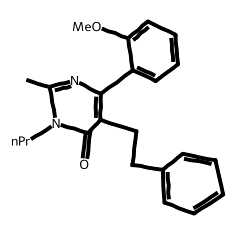 CCCn1c(C)nc(-c2ccccc2OC)c(CCc2ccccc2)c1=O